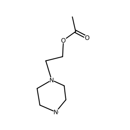 CC(=O)OCCN1CC[N]CC1